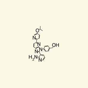 CC(C)Oc1ccc(-c2ccc3nc(-c4cccnc4N)n(-c4ccc(CO)cc4)c3n2)nc1